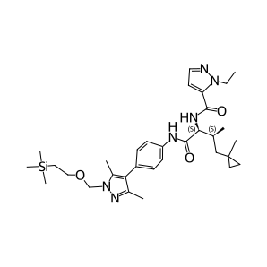 CCn1nccc1C(=O)N[C@H](C(=O)Nc1ccc(-c2c(C)nn(COCC[Si](C)(C)C)c2C)cc1)[C@@H](C)CC1(C)CC1